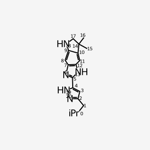 CC(C)Cc1cc(-c2nc3cc4c(cc3[nH]2)C(C)(C)CN4)[nH]n1